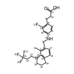 Cc1c(CNc2ccc(CCC(=O)O)c(F)c2)ccc2c1N(CCC(F)(F)F)CCC2